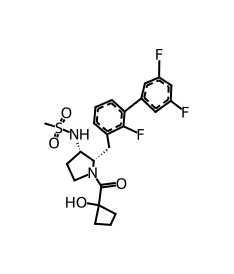 CS(=O)(=O)N[C@H]1CCN(C(=O)C2(O)CCC2)[C@H]1Cc1cccc(-c2cc(F)cc(F)c2)c1F